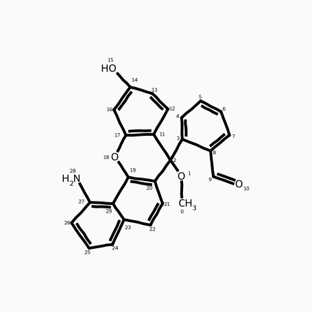 COC1(c2ccccc2C=O)c2ccc(O)cc2Oc2c1ccc1cccc(N)c21